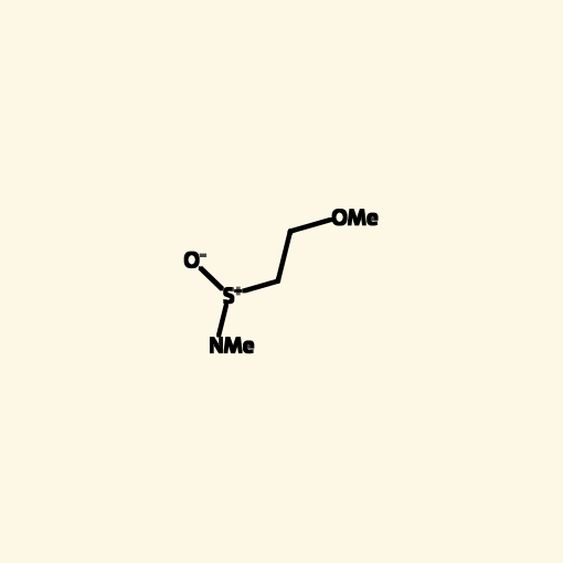 CN[S+]([O-])CCOC